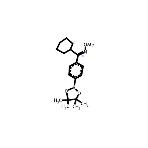 CO/N=C(/c1ccc(B2OC(C)(C)C(C)(C)O2)cc1)C1CCCCC1